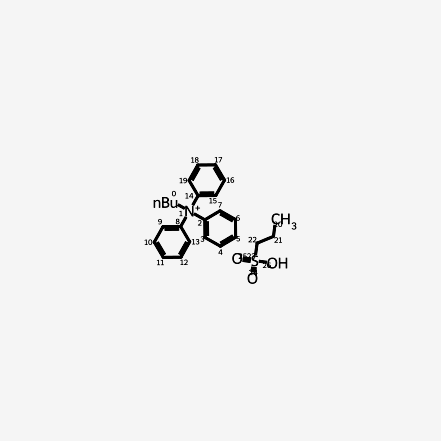 CCCC[N+](c1ccccc1)(c1ccccc1)c1ccccc1.CCCS(=O)(=O)O